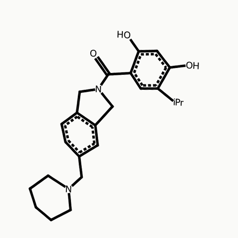 CC(C)c1cc(C(=O)N2Cc3ccc(CN4CCCCC4)cc3C2)c(O)cc1O